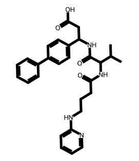 CC(C)C(NC(=O)CCCNc1ccccn1)C(=O)NC(CC(=O)O)c1ccc(-c2ccccc2)cc1